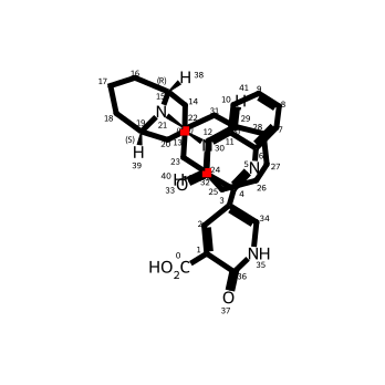 O=C(O)c1cc(-c2nc3ccccc3n([C@@H]3C[C@H]4CCC[C@@H](C3)N4[C@@H]3C[C@@H]4CCCC[C@@H](C4)C3)c2=O)c[nH]c1=O